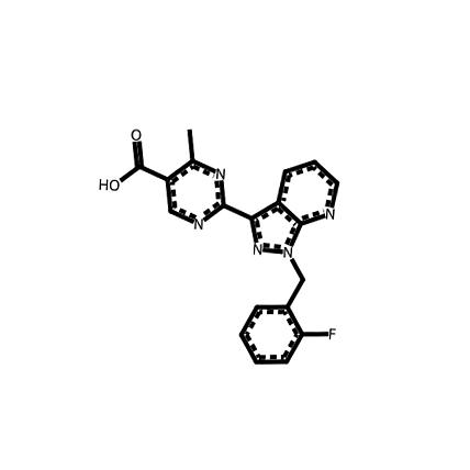 Cc1nc(-c2nn(Cc3ccccc3F)c3ncccc23)ncc1C(=O)O